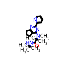 CN(c1nc(-c2ccccn2)nc2c1CCC2)C(C)(C)C(=O)NC(C)(C)C